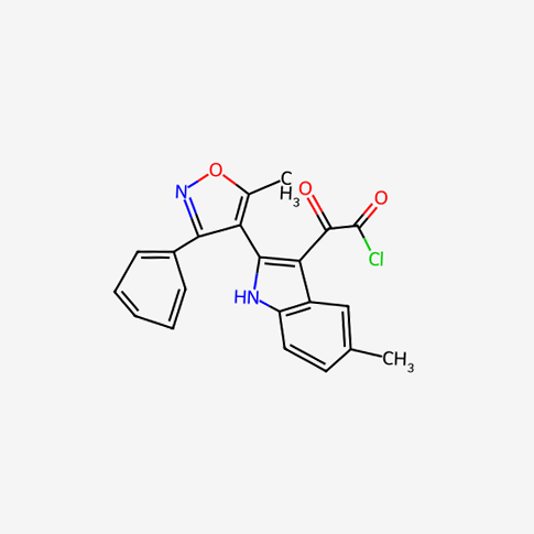 Cc1ccc2[nH]c(-c3c(-c4ccccc4)noc3C)c(C(=O)C(=O)Cl)c2c1